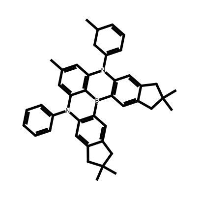 Cc1cc2c3c(c1)N(c1ccccc1)c1cc4c(cc1B3c1cc3c(cc1N2C1=CC=CC(C)C1)CC(C)(C)C3)CC(C)(C)C4